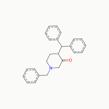 O=C1CN(Cc2ccccc2)CCC1C(c1ccccc1)c1ccccc1